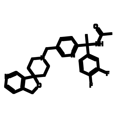 CC(=O)NC(C)(c1ccc(F)c(F)c1)c1ccc(CN2CCC3(CC2)OCc2ccncc23)cn1